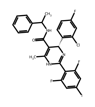 CC1=C(C(=O)NC(C)c2ccccc2)[C@H](c2ccc(F)cc2Cl)N=C(c2c(F)cc(I)cc2F)N1